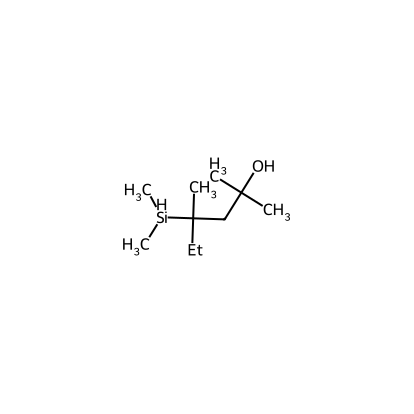 CCC(C)(CC(C)(C)O)[SiH](C)C